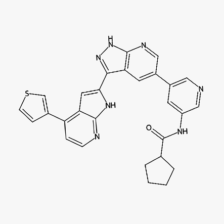 O=C(Nc1cncc(-c2cnc3[nH]nc(-c4cc5c(-c6ccsc6)ccnc5[nH]4)c3c2)c1)C1CCCC1